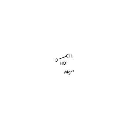 C[O-].[Mg+2].[OH-]